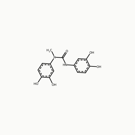 CN(C(=O)Nc1ccc(O)c(O)c1)c1ccc(O)c(O)c1